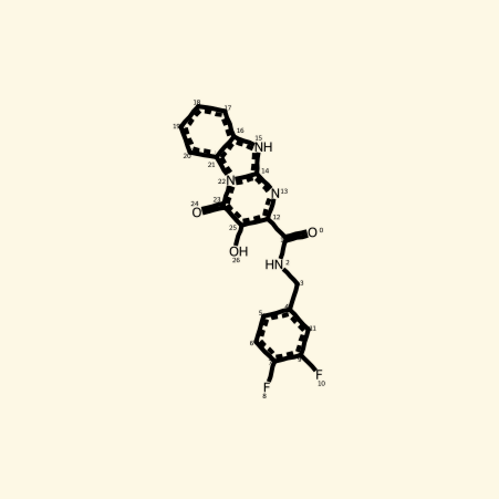 O=C(NCc1ccc(F)c(F)c1)c1nc2[nH]c3ccccc3n2c(=O)c1O